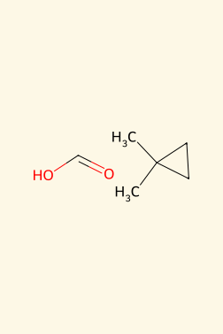 CC1(C)CC1.O=CO